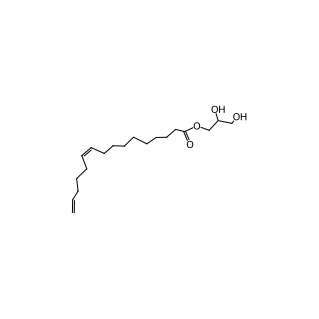 C=CCCC/C=C\CCCCCCCCC(=O)OCC(O)CO